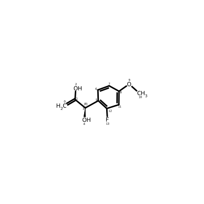 C=C(O)[C@H](O)c1ccc(OC)cc1F